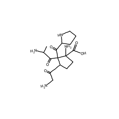 CC(N)C(=O)C1(C(=O)C2CCCN2)C(C(=O)CN)CCC1(N)C(=O)O